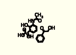 CC(=O)Nc1cccc([As](=O)(O)O)c1O.O=C(CO)c1ccccc1